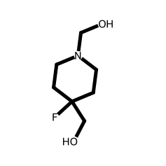 OCN1CCC(F)(CO)CC1